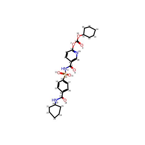 O=C(Oc1ccc(C(=O)NS(=O)(=O)c2ccc(C(=O)NC3CCCCC3)cc2)cn1)OC1CCCCC1